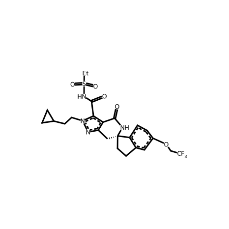 CCS(=O)(=O)NC(=O)c1c2c(nn1CCC1CC1)C[C@]1(CCc3cc(OCC(F)(F)F)ccc31)NC2=O